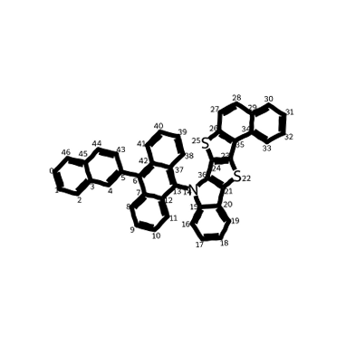 c1ccc2cc(-c3c4ccccc4c(-n4c5ccccc5c5sc6c(sc7ccc8ccccc8c76)c54)c4ccccc34)ccc2c1